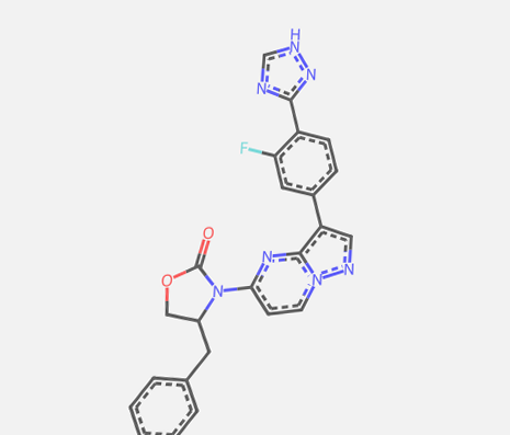 O=C1OCC(Cc2ccccc2)N1c1ccn2ncc(-c3ccc(-c4nc[nH]n4)c(F)c3)c2n1